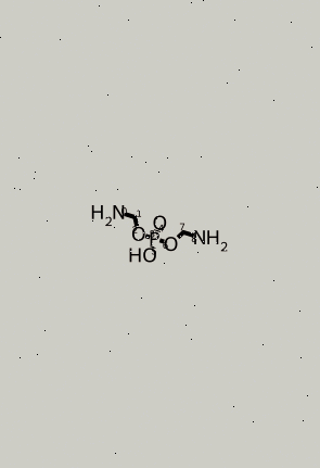 NCOP(=O)(O)OCN